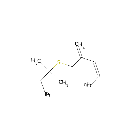 C=C(/C=C\CCC)CSC(C)(C)CC(C)C